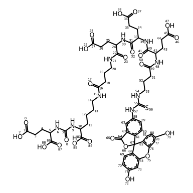 O=C(O)CCC(NC(=O)NC(CCCCNC(=O)CCCNC(=O)C(CCC(=O)O)NC(=O)C(CCC(=O)O)NC(=O)C(CCC(=O)O)NC(=O)CCCNC(=S)Nc1ccc2c(c1)C(=O)OC21c2ccc(O)cc2Oc2cc(O)ccc21)C(=O)O)C(=O)O